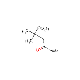 CNC(=O)CC(C)(C)C(=O)O